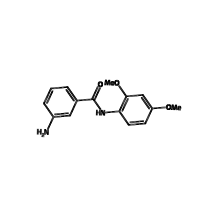 COc1ccc(NC(=O)c2cccc(N)c2)c(OC)c1